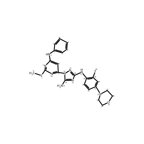 CSc1nc(Nc2ccccc2)cc(-n2nc(Nc3ccc(N4CCOCC4)cc3F)nc2N)n1